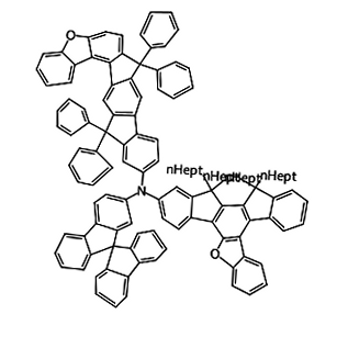 CCCCCCCC1(CCCCCCC)c2cc(N(c3ccc4c(c3)C(c3ccccc3)(c3ccccc3)c3cc5c(cc3-4)C(c3ccccc3)(c3ccccc3)c3ccc4oc6ccccc6c4c3-5)c3ccc4c(c3)C3(c5ccccc5-c5ccccc53)c3ccccc3-4)ccc2-c2c1c1c(c3c2oc2ccccc23)-c2ccccc2C1(CCCCCCC)CCCCCCC